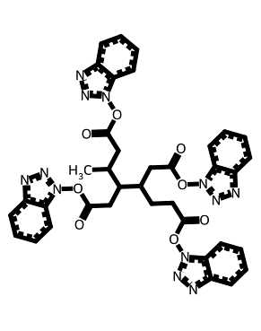 CC(CC(=O)On1nnc2ccccc21)C(CC(=O)On1nnc2ccccc21)C(CCC(=O)On1nnc2ccccc21)CC(=O)On1nnc2ccccc21